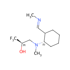 CN=CC1CCCC[C@@H]1N(C)C[C@@H](O)C(F)(F)F